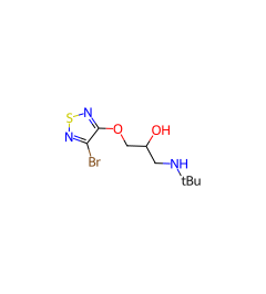 CC(C)(C)NCC(O)COc1nsnc1Br